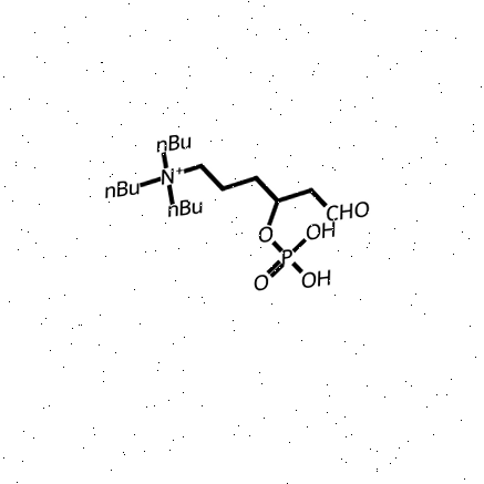 CCCC[N+](CCCC)(CCCC)CCCC(CC=O)OP(=O)(O)O